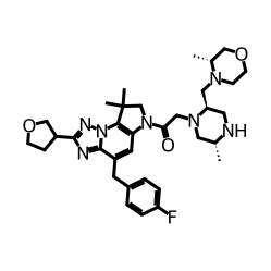 C[C@@H]1CN(CC(=O)N2CC(C)(C)c3c2cc(Cc2ccc(F)cc2)c2nc(C4CCOC4)nn32)[C@@H](CN2CCOC[C@H]2C)CN1